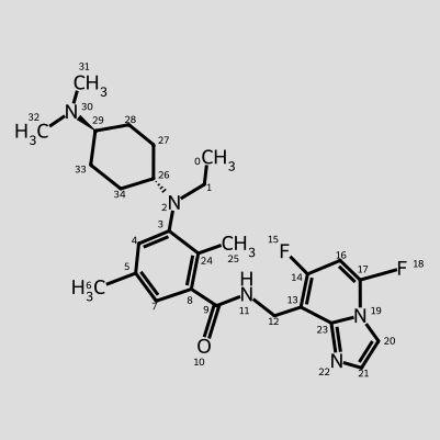 CCN(c1cc(C)cc(C(=O)NCc2c(F)cc(F)n3ccnc23)c1C)[C@H]1CC[C@H](N(C)C)CC1